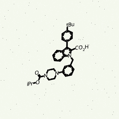 CC(C)OC(=O)N1CCN(c2cccc(Cn3c(C(=O)O)c(-c4ccc(C(C)(C)C)cc4)c4ccccc43)c2)CC1